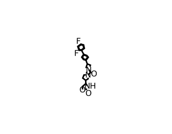 O=C1NC(C2CCN(C(=O)N3CC(c4ccc(-c5ccc(F)cc5F)cc4)C3)C2)CO1